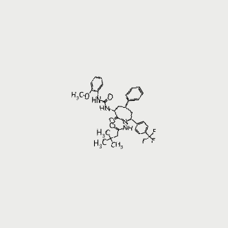 COc1ccccc1NC(=O)NC1CC(c2ccccc2)CC(c2ccc(C(F)(F)F)cc2)N(NC(=O)CC(C)(C)C)C1=O